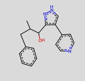 CC(Cc1ccccc1)C(O)c1n[nH]cc1-c1ccncc1